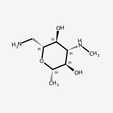 CN[C@@H]1[C@@H](O)[C@H](C)O[C@H](CN)[C@H]1O